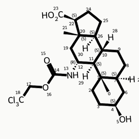 C[C@]12CC[C@H](O)C[C@@H]1CC[C@@H]1[C@@H]2[C@H](NC(=O)OCC(Cl)(Cl)Cl)C[C@]2(C)[C@@H](C(=O)O)CC[C@@H]12